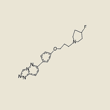 FC1CCN(CCCOc2ccc(-c3ccc4nncn4n3)cc2)CC1